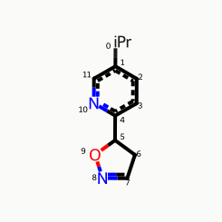 CC(C)c1ccc(C2CC=NO2)nc1